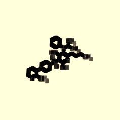 CCCCc1nc(O)c(S(=O)(=O)c2ccc(-c3cccnc3C)cc2)c(O)c1N(c1ccccc1)C(C)C